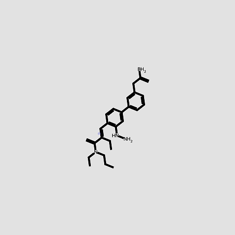 BC(=C)Cc1cccc(-c2ccc(/C=C(\CC)C(=C)N(CC)CCC)c(NN)c2)c1